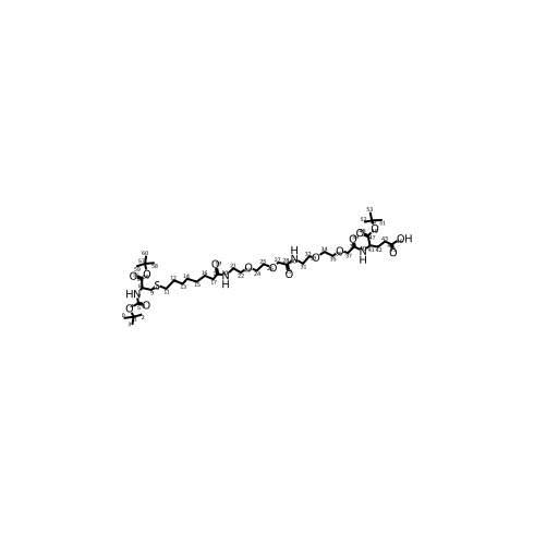 CC(C)(C)OC(=O)NC(CSCCCCCCCC(=O)NCCOCCOCC(=O)NCCOCCOCC(=O)NC(CCC(=O)O)C(=O)OC(C)(C)C)C(=O)OC(C)(C)C